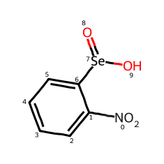 O=[N+]([O-])c1ccccc1[Se](=O)O